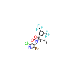 C[C@H]1[C@@H](c2cc(C(F)(F)F)cc(C(F)(F)F)c2)OC(=O)N1Cc1cc(Cl)ncc1Br